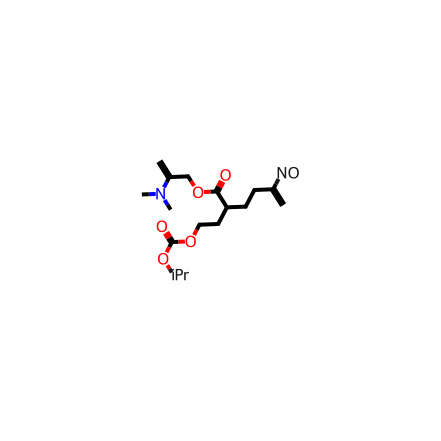 C=C(CCC(CCOC(=O)OC(C)C)C(=O)OCC(=C)N(C)C)N=O